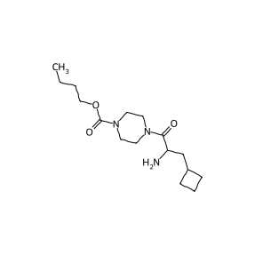 CCCCOC(=O)N1CCN(C(=O)C(N)CC2CCC2)CC1